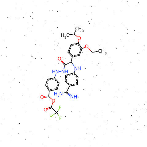 CCOc1cc(C(Nc2ccc(C(=N)N)cc2)C(=O)NNc2ccc(C(=O)OC(=O)C(F)(F)F)cc2)ccc1OC(C)C